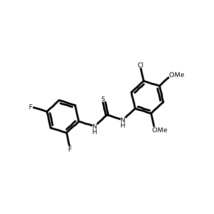 COc1cc(OC)c(NC(=S)Nc2ccc(F)cc2F)cc1Cl